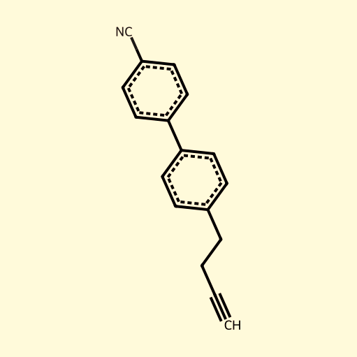 C#CCCc1ccc(-c2ccc(C#N)cc2)cc1